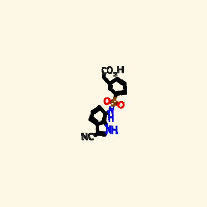 N#Cc1c[nH]c2c(NS(=O)(=O)c3cccc(CC(=O)O)c3)cccc12